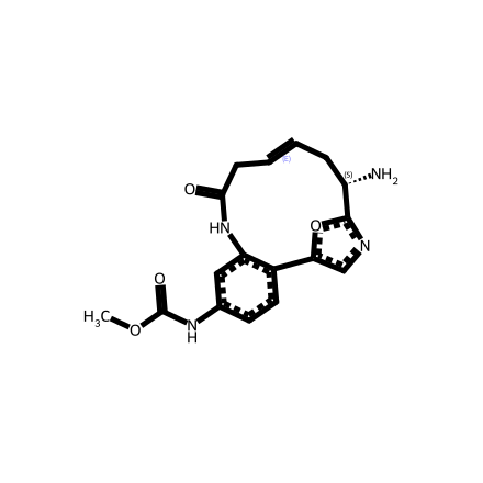 COC(=O)Nc1ccc2c(c1)NC(=O)C/C=C/C[C@H](N)c1ncc-2o1